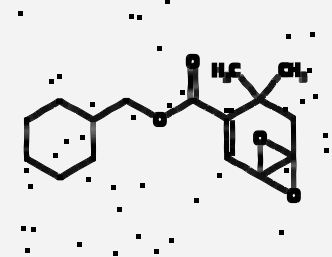 CC1(C)CC23OC2(C=C1C(=O)OCC1CCCCC1)O3